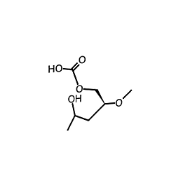 CO[C@H](COC(=O)O)CC(C)O